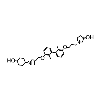 Cc1c(OCCCNC2CCC(O)CC2)cccc1-c1cccc(OCCCN2CC[C@@H](O)C2)c1C